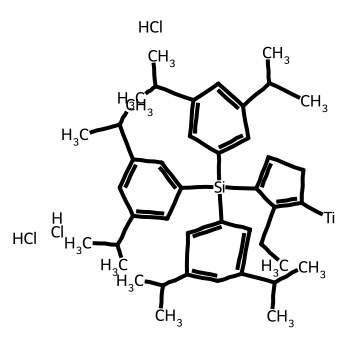 CCC1=[C]([Ti])CC=C1[Si](c1cc(C(C)C)cc(C(C)C)c1)(c1cc(C(C)C)cc(C(C)C)c1)c1cc(C(C)C)cc(C(C)C)c1.Cl.Cl.Cl